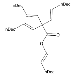 CCCCCCCCCCC=COC(=O)C(C=CCCCCCCCCCC)(C=CCCCCCCCCCC)C=CCCCCCCCCCC